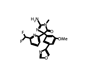 COc1cc(-c2cocn2)cc(C2(c3cccc(C(F)F)n3)N=C(N)N(C)C2=O)c1